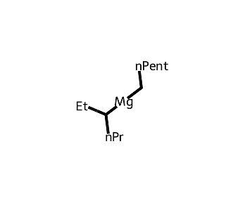 CCCCC[CH2][Mg][CH](CC)CCC